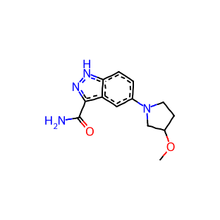 COC1CCN(c2ccc3[nH]nc(C(N)=O)c3c2)C1